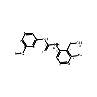 COc1cccc(NC(=O)Nc2cccc(F)c2CO)c1